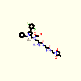 CC1CC(=O)N(CCNC(=O)CCNC(=O)[C@@H](N)CCN(C(=O)CO)[C@@H](c2cc(-c3cc(F)ccc3F)cn2Cc2ccccc2)C(C)(C)C)C1=O